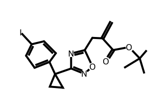 C=C(Cc1nc(C2(c3ccc(I)cc3)CC2)no1)C(=O)OC(C)(C)C